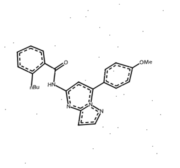 CCCCc1ccccc1C(=O)Nc1cc(-c2ccc(OC)cc2)n2nccc2n1